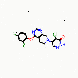 C[C@@H]1Cc2c(ncnc2Oc2ccc(F)cc2Cl)CN1c1cn[nH]c(=O)c1Cl